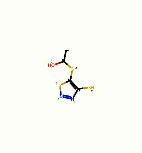 CC(O)Sc1snnc1S